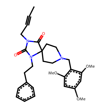 CC#CCN1C(=O)N(CCc2ccccc2)C2(CCN(Cc3c(OC)cc(OC)cc3OC)CC2)C1=O